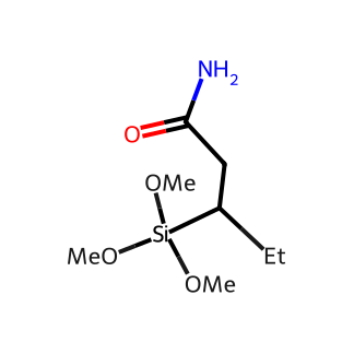 CCC(CC(N)=O)[Si](OC)(OC)OC